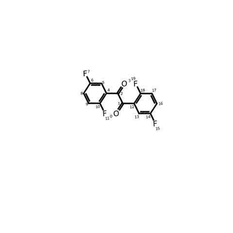 O=C(C(=O)c1cc(F)ccc1F)c1cc(F)ccc1F